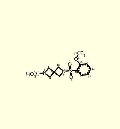 O=C(O)N1CC2(C1)CN(S(=O)(=O)c1ccccc1OC(F)(F)F)C2